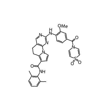 COc1cc(C(=O)N2C=CS(=O)(=O)C=C2)ccc1Nc1ncc2c(n1)-n1ccc(C(=O)Nc3c(C)cccc3C)c1CC2